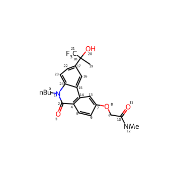 CCCCn1c(=O)c2ccc(OCC(=O)NC)cc2c2cc(C(C)(O)C(F)(F)F)ccc21